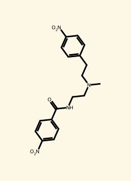 CN(CCNC(=O)c1ccc([N+](=O)[O-])cc1)CCc1ccc([N+](=O)[O-])cc1